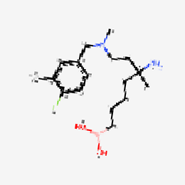 CN(CCC(C)(N)CCCCB(O)O)Cc1ccc(F)c(C(F)(F)F)c1